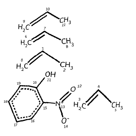 C=CC.C=CC.C=CC.C=CC.O=[N+]([O-])c1ccccc1O